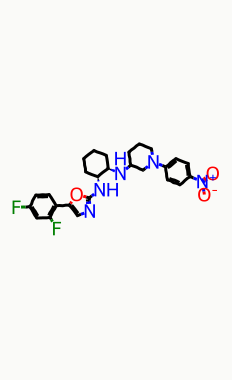 O=[N+]([O-])c1ccc(N2CCCC(N[C@@H]3CCCC[C@H]3Nc3ncc(-c4ccc(F)cc4F)o3)C2)cc1